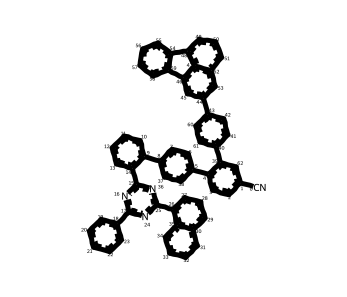 N#Cc1ccc(-c2ccc(-c3ccccc3-c3nc(-c4ccccc4)nc(-c4cccc5ccccc45)n3)cc2)c(-c2ccc(-c3cc4c5c(cccc5c3)-c3ccccc3-4)cc2)c1